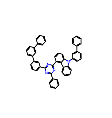 c1ccc(-c2cccc(-c3cccc(-c4nc(-c5ccccc5)nc(-c5cccc6c5c5ccccc5n6-c5cccc(-c6ccccc6)c5)n4)c3)c2)cc1